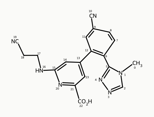 Cn1cnnc1-c1ccc(C#N)cc1-c1cc(NCCC#N)nc(C(=O)O)c1